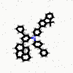 CC1(C)c2ccccc2-c2ccc(-c3ccc(N(c4ccc(-c5ccccc5)cc4)c4cc(C5=CC=CCC5)cc(-c5ccc6ccc7cccc8ccc5c6c78)c4)cc3)cc21